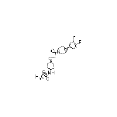 CS(=O)(=O)Nc1ccc(OCC(=O)N2CCN(c3ccc(F)c(F)c3)CC2)cc1